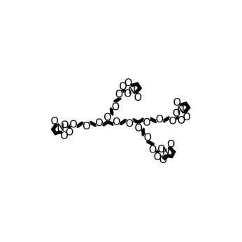 O=C(OCCOCCOCC(COCCOCC(COCCOCCOC(=O)ON1C(=O)CCC1=O)OCCOCCOC(=O)ON1C(=O)CCC1=O)OCCOCCOC(=O)ON1C(=O)CCC1=O)ON1C(=O)CCC1=O